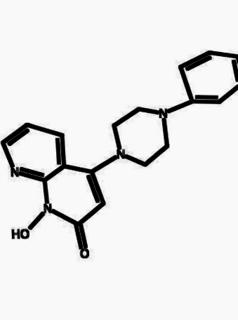 O=c1cc(N2CCN(c3ccccc3)CC2)c2cccnc2n1O